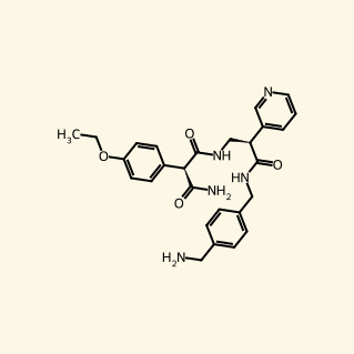 CCOc1ccc([C@H](C(N)=O)C(=O)NC[C@H](C(=O)NCc2ccc(CN)cc2)c2cccnc2)cc1